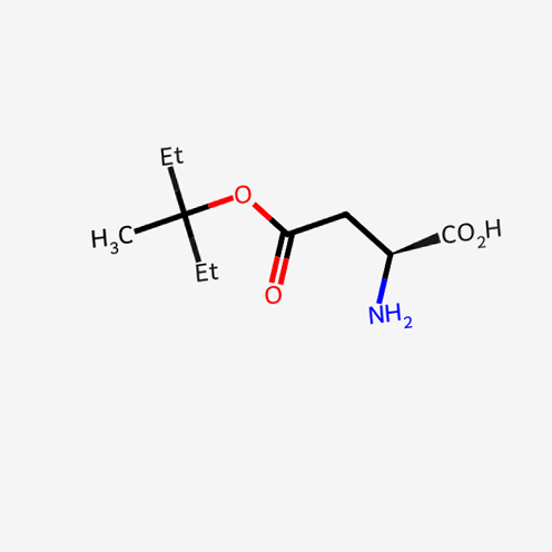 CCC(C)(CC)OC(=O)C[C@H](N)C(=O)O